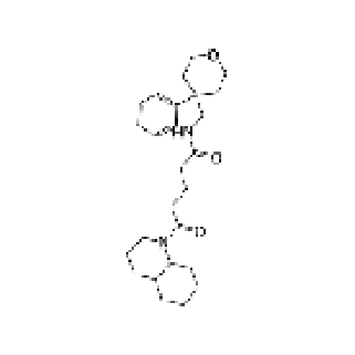 O=C(CCCC(=O)N1CCCC2CCCCC21)NCC1(c2ccccc2)CCOCC1